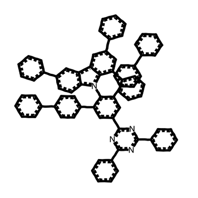 c1ccc(-c2ccc(-c3cc(-c4nc(-c5ccccc5)nc(-c5ccccc5)n4)cc(-c4ccc(-c5ccccc5)cc4)c3-n3c4ccc(-c5ccccc5)cc4c4cc(-c5ccccc5)cc(-c5ccccc5)c43)cc2)cc1